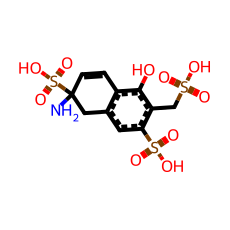 NC1(S(=O)(=O)O)C=Cc2c(cc(S(=O)(=O)O)c(CS(=O)(=O)O)c2O)C1